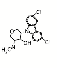 C=N[C@@H]1COC[C@H](n2c3ccc(Cl)cc3c3cc(Cl)ccc32)[C@H]1O